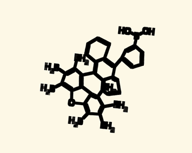 Bc1c(B)c(B)c2c(oc3c(B)c(B)c(B)c(-c4c5ccccc5c(-c5cccc(B(O)O)c5)c5ccccc45)c32)c1B